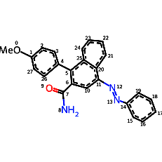 COc1ccc(-c2c(C(N)=O)cc(N=Nc3ccccc3)c3ccccc23)cc1